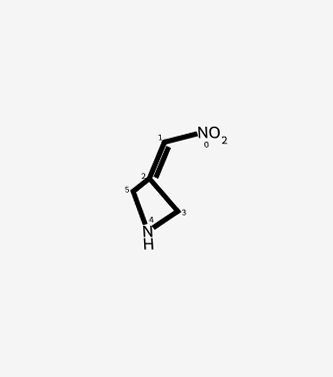 O=[N+]([O-])C=C1CNC1